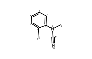 Cc1ccccc1N(C)C#N